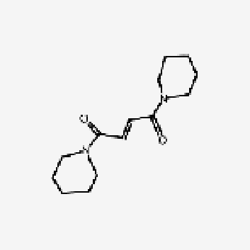 O=C(C=CC(=O)N1CCCCC1)N1CCCCC1